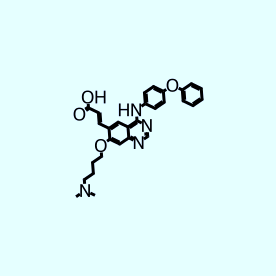 CN(C)CCCCOc1cc2ncnc(Nc3ccc(Oc4ccccc4)cc3)c2cc1C=CC(=O)O